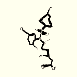 C[C@H](CCC(S)CC(=O)O)N(c1cc(Cl)ccc1Cl)S(=O)(=O)c1ccc(Cl)cc1